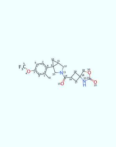 Cc1cc(OC(F)(F)F)ccc1C12CC1CN(C(=O)C1CC3(COC(=O)N3)C1)C2